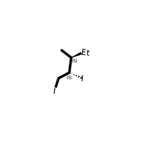 CC[C@H](C)[C@H](I)CI